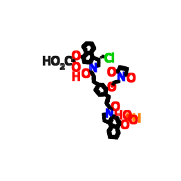 O=C(O)C(O)Oc1cc2c(c3ccccc13)[C@H](CCl)CN2C(=O)/C=C/c1ccc(/C=C/C(=O)N2CCc3c2cc(O[PH](=O)O)c2ccccc32)c(OCCN2C(=O)C=CC2=O)c1